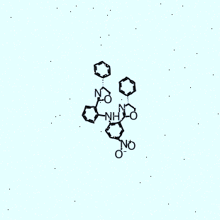 O=[N+]([O-])c1ccc(Nc2ccccc2C2=N[C@H](c3ccccc3)CO2)c(C2=N[C@H](c3ccccc3)CO2)c1